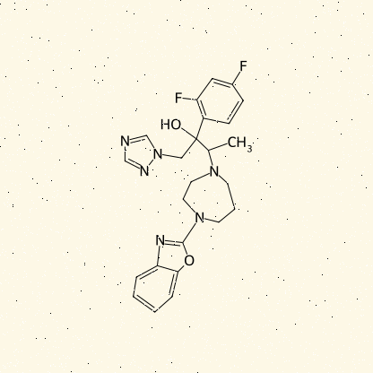 CC(N1CCCN(c2nc3ccccc3o2)CC1)C(O)(Cn1cncn1)c1ccc(F)cc1F